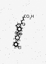 O=C(O)CCCC(=O)N1CCc2cc(S(=O)(=O)N3CCN(c4cccc(Cl)c4)CC3)ccc21